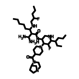 CCCCCC(NCC(F)CCC)C(C(=O)NC1CNC(C(CC)CCC)C(F)C1N1CCC(C(=O)N2CCN3CCC2C3)CC1)C(N)N